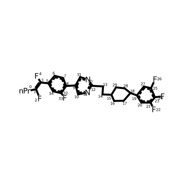 CCC/C(F)=C(\F)c1ccc(-c2cnc(CCC3CCC(c4cc(F)c(F)c(F)c4)CC3)nc2)c(F)c1